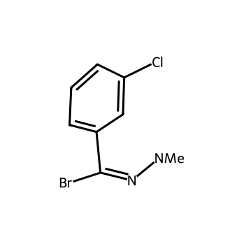 CN/N=C(/Br)c1cccc(Cl)c1